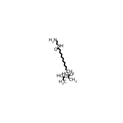 CCC(=O)O.CCC(=O)O.CCCCCCCCCCCC(=O)NCCN